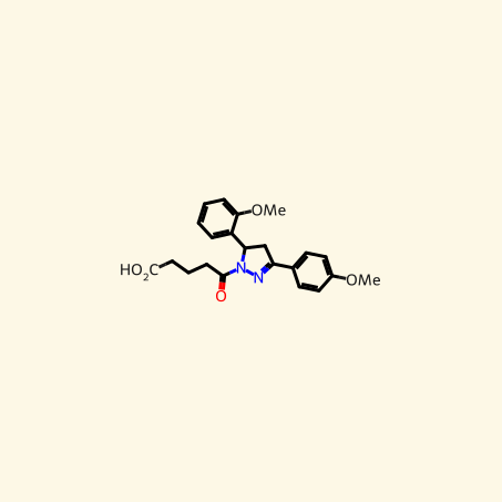 COc1ccc(C2=NN(C(=O)CCCC(=O)O)C(c3ccccc3OC)C2)cc1